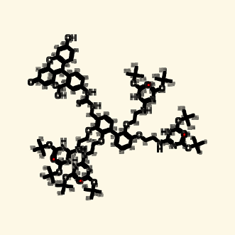 CC(C)(C)OC(=O)/N=C(/NCCOc1cccc(-c2ccc(CNC(=S)Nc3ccc(-c4c5ccc(=O)cc-5oc5cc(O)ccc45)c(C(=O)O)c3)c(OCCN/C(=N/C(=O)OC(C)(C)C)NC(=O)OC(C)(C)C)c2OCCN/C(=N/C(=O)OC(C)(C)C)NC(=O)OC(C)(C)C)c1OCCN/C(=N/C(=O)OC(C)(C)C)NC(=O)OC(C)(C)C)NC(=O)OC(C)(C)C